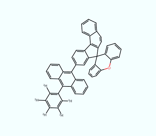 [2H]c1c([2H])c([2H])c(-c2c3ccccc3c(-c3ccc4c(c3)C3(c5ccccc5Oc5ccccc53)c3ccc5ccccc5c3-4)c3ccccc23)c([2H])c1[2H]